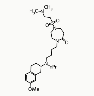 CCCN(CCCCN1CCN(S(=O)(=O)CCN(C)C)CCC1=O)C1CCc2ccc(OC)cc2C1